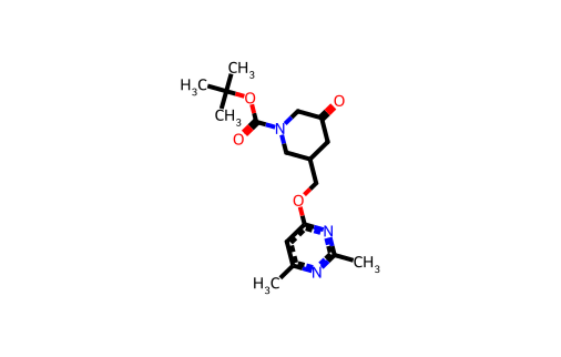 Cc1cc(OCC2CC(=O)CN(C(=O)OC(C)(C)C)C2)nc(C)n1